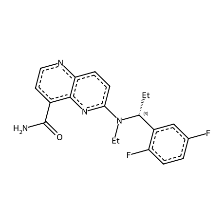 CC[C@H](c1cc(F)ccc1F)N(CC)c1ccc2nccc(C(N)=O)c2n1